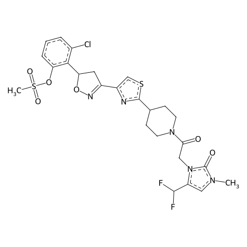 Cn1cc(C(F)F)n(CC(=O)N2CCC(c3nc(C4=NOC(c5c(Cl)cccc5OS(C)(=O)=O)C4)cs3)CC2)c1=O